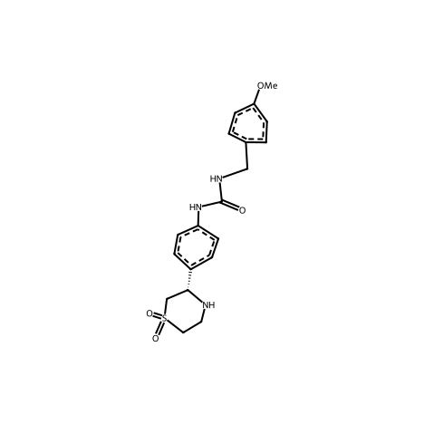 COc1ccc(CNC(=O)Nc2ccc([C@H]3CS(=O)(=O)CCN3)cc2)cc1